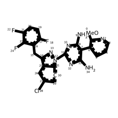 COc1ncccc1-c1c(N)nc(-n2nc(Cc3c(F)ccc(F)c3F)c3cc(Cl)ccc32)nc1N